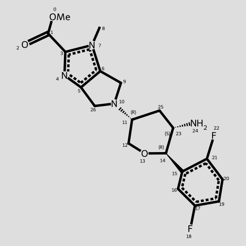 COC(=O)c1nc2c(n1C)CN([C@H]1CO[C@H](c3cc(F)ccc3F)[C@@H](N)C1)C2